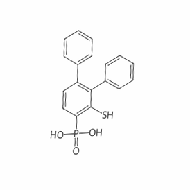 O=P(O)(O)c1ccc(-c2ccccc2)c(-c2ccccc2)c1S